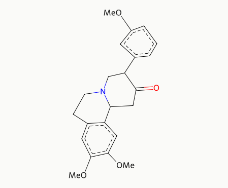 COc1cccc(C2CN3CCc4cc(OC)c(OC)cc4C3CC2=O)c1